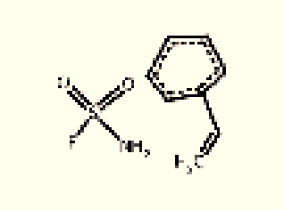 C=Cc1ccccc1.NS(=O)(=O)F